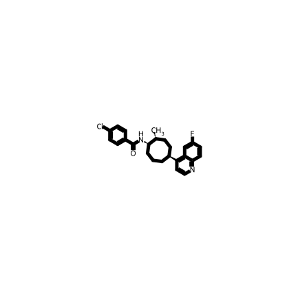 C[C@@H]1CC[C@@H](c2ccnc3ccc(F)cc23)CCC[C@@H]1NC(=O)c1ccc(Cl)cc1